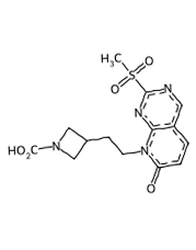 CS(=O)(=O)c1ncc2ccc(=O)n(CCC3CN(C(=O)O)C3)c2n1